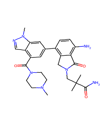 CN1CCN(C(=O)c2cc(-c3ccc(N)c4c3CN(CC(C)(C)C(N)=O)C4=O)cc3c2cnn3C)CC1